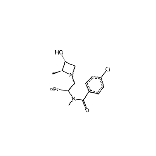 CCCC(CN1C[C@@H](O)[C@@H]1C)N(C)C(=O)c1ccc(Cl)cc1